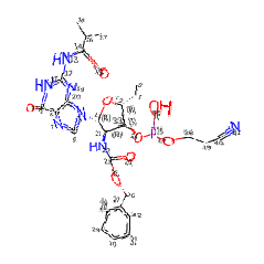 CC[C@H]1O[C@@H](n2cnc3c(=O)[nH]c(NC(=O)C(C)C)nc32)[C@H](NC(=O)OCc2ccccc2)[C@@H]1OP(O)OCCC#N